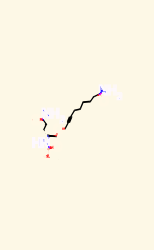 CC(C)(C)OC(=O)N[C@@H](CCC(N)=O)COCC#CCCCCCC(N)=O